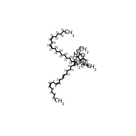 CCCCC/C=C\C/C=C\CCCCCCCCC1(CCCCCCCC/C=C\C/C=C\CCCCC)O[C@@H]2C(CN(C)C)OC(OC)[C@@H]2O1